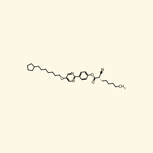 CCCCCC[C@@H](C#N)C(=O)Oc1ccc(-c2ncc(OCCCCCCCC3CCCC3)cn2)cc1